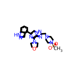 CS(=O)(=O)N1CCN(Cc2nc3c(N4CCOCC4)nc(-c4cccc5[nH]ncc45)cn3n2)CC1